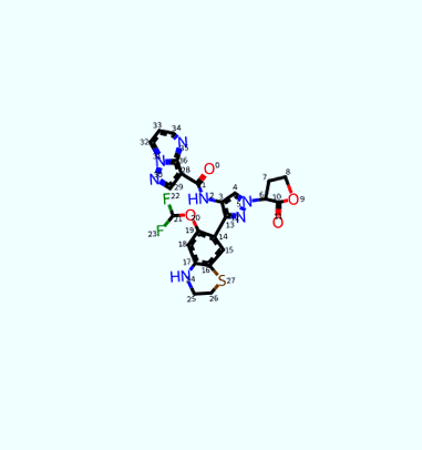 O=C(Nc1cn(C2CCOC2=O)nc1-c1cc2c(cc1OC(F)F)NCCS2)c1cnn2cccnc12